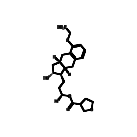 CC[C@@H](CC[C@@H]1[C@H]2Cc3cccc(OCC(=O)O)c3C[C@H]2C[C@H]1O)OC(=O)C1CCOC1